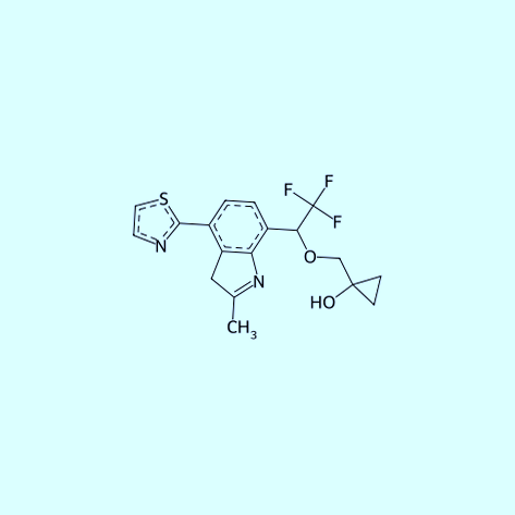 CC1=Nc2c(C(OCC3(O)CC3)C(F)(F)F)ccc(-c3nccs3)c2C1